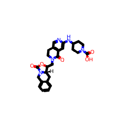 O=C(O)N1CCC(Nc2cc3c(cn2)CCN(CC2OC(=O)N4Cc5ccccc5C[C@@H]24)C3=O)CC1